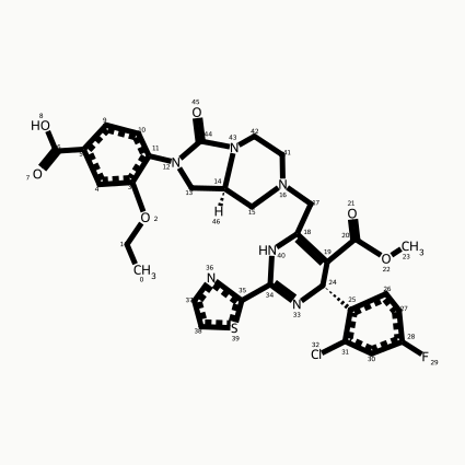 CCOc1cc(C(=O)O)ccc1N1C[C@@H]2CN(CC3=C(C(=O)OC)[C@H](c4ccc(F)cc4Cl)N=C(c4nccs4)N3)CCN2C1=O